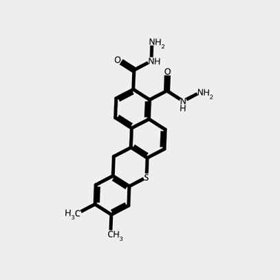 Cc1cc2c(cc1C)Sc1ccc3c(C(=O)NN)c(C(=O)NN)ccc3c1C2